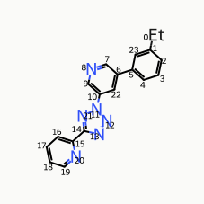 CCc1cccc(-c2cncc(-n3nnc(-c4ccccn4)n3)c2)c1